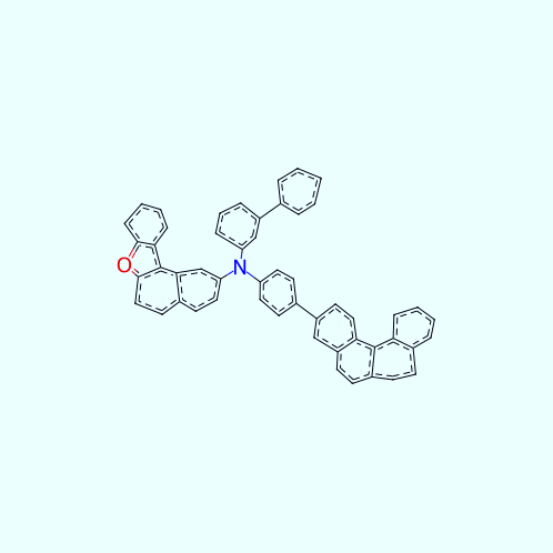 c1ccc(-c2cccc(N(c3ccc(-c4ccc5c(ccc6ccc7ccccc7c65)c4)cc3)c3ccc4ccc5oc6ccccc6c5c4c3)c2)cc1